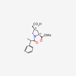 COC(=O)[C@@H]1C[C@H](CC(=O)O)CN1C(=O)C(C)c1ccccc1